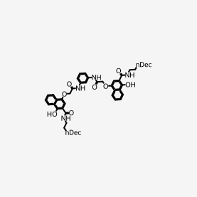 CCCCCCCCCCCCNC(=O)c1cc(OCC(=O)Nc2cccc(NC(=O)COc3cc(C(=O)NCCCCCCCCCCCC)c(O)c4ccccc34)c2)c2ccccc2c1O